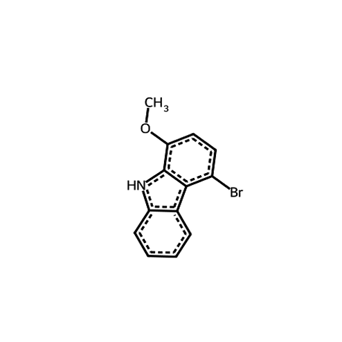 COc1ccc(Br)c2c1[nH]c1ccccc12